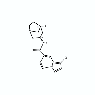 O=C(N[C@@H]1C[C@@H]2CCN(C2)C1)c1ccn2ccc(Cl)c2c1